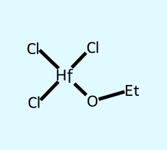 CC[O][Hf]([Cl])([Cl])[Cl]